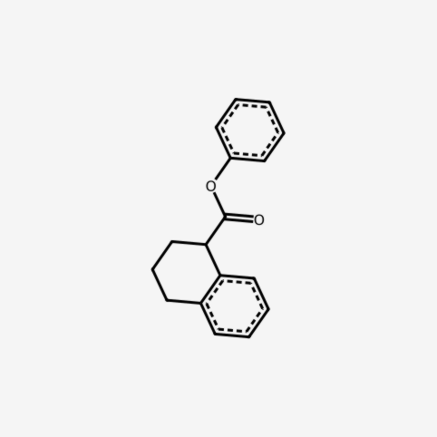 O=C(Oc1ccccc1)C1CCCc2ccccc21